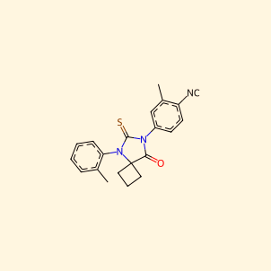 [C-]#[N+]c1ccc(N2C(=O)C3(CCC3)N(c3ccccc3C)C2=S)cc1C